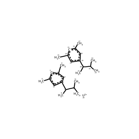 Cc1[c-]c(C)cc(C(C)C(C)C)c1.Cc1[c-]c(C)cc(C(C)C(C)C)c1.[U+2]